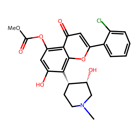 COC(=O)Oc1cc(O)c([C@H]2CCN(C)C[C@H]2O)c2oc(-c3ccccc3Cl)cc(=O)c12